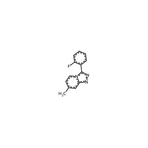 Cc1ccn2c(-c3ccccc3F)nnc2c1